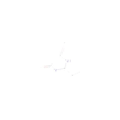 CCC(NC=O)NC=O